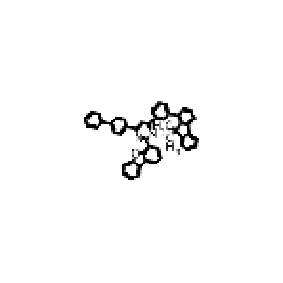 CC1(C)c2ccccc2-c2cccc(-c3cccc(-c4cc(-c5ccc(-c6ccccc6)cc5)nc(-c5cccc6c5oc5ccccc56)n4)c3)c21